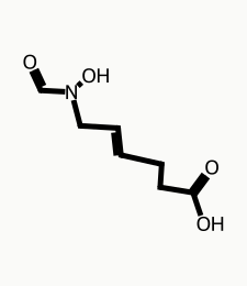 O=CN(O)CC=CCCC(=O)O